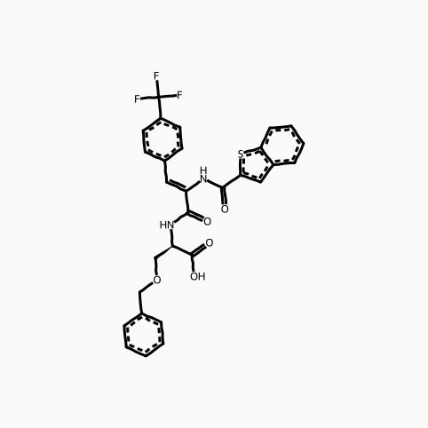 O=C(N[C@H](COCc1ccccc1)C(=O)O)/C(=C/c1ccc(C(F)(F)F)cc1)NC(=O)c1cc2ccccc2s1